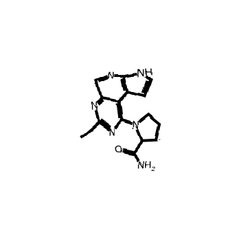 Cc1nc(N2CC[CH]C2C(N)=O)c2c(cnc3[nH]ccc32)n1